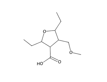 CCC1OC(CC)C(C(=O)O)C1COC